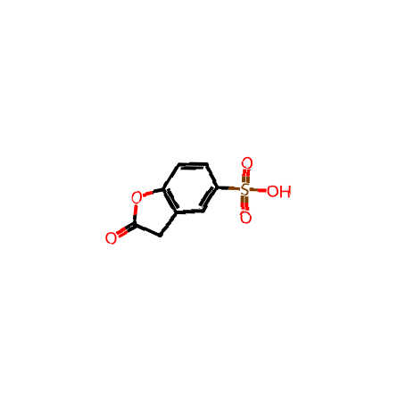 O=C1Cc2cc(S(=O)(=O)O)ccc2O1